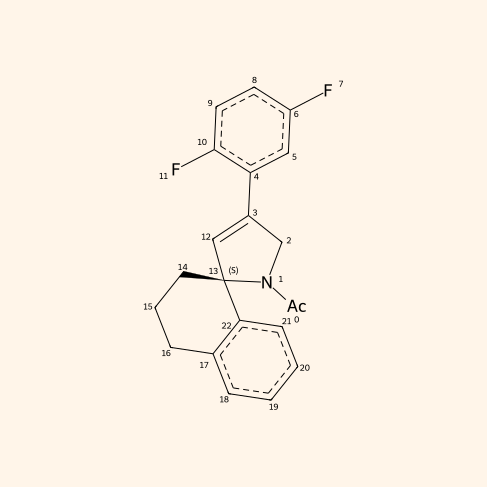 CC(=O)N1CC(c2cc(F)ccc2F)=C[C@]12CCCc1ccccc12